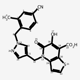 Cc1cc(C#N)ccc1Cn1cc(Cn2c(=O)c(O)c(C(=O)O)c3sccc32)cn1